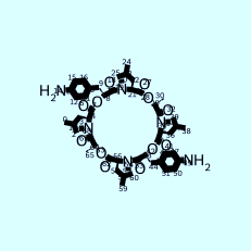 CC(C)C[C@H]1C(=O)O[C@H](Cc2ccc(N)cc2)C(=O)N(C)[C@@H](CC(C)C)C(=O)O[C@H](C)C(=O)N(C)[C@@H](CC(C)C)C(=O)O[C@H](Cc2ccc(N)cc2)C(=O)N(C)[C@@H](CC(C)C)C(=O)O[C@H](C)C(=O)N1C